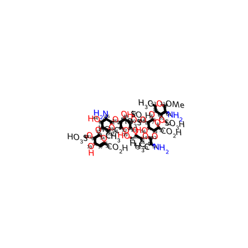 CO[C@H]1OC(C)[C@@H](O[C@@H]2OC(C(=O)O)[C@H](O[C@@H](OC(C)[C@H](CO)O[C@@H]3OC(C(=O)O)[C@H](O[C@H]4OC(C)[C@@H](O[C@@H]5OC(C(=O)O)=CC(O)[C@@H]5OS(=O)(=O)O)[C@H](O)C4N)C(O)[C@@H]3OS(=O)(=O)O)[C@H](C)N)C(O)[C@@H]2OS(=O)(=O)O)[C@H](OS(=O)(=O)O)C1N